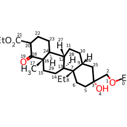 CCOC[C@@]1(O)CC[C@@]2(CC)[C@H](CC[C@@H]3[C@@H]2CC[C@]2(C)C(=O)C(C(=O)OCC)CC[C@@H]32)C1